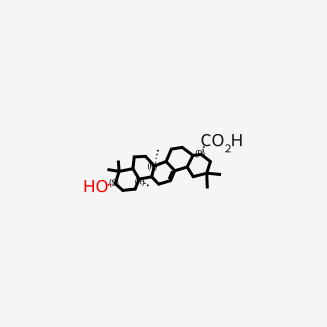 CC1(C)CC2C3=CCC4[C@@](C)(CCC5C(C)(C)[C@@H](O)CC[C@@]54C)C3CCC2[C@H](C(=O)O)C1